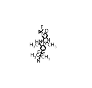 Cc1nc(N[C@H](C)c2cccc(C(F)(F)C(C)(C)C#N)c2)c2cn(C3(CF)CC3)c(=O)cc2n1